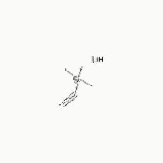 [C]#C[Si](C)(C)C.[LiH]